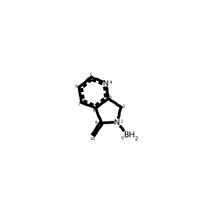 BN1Cc2ncccc2C1=C